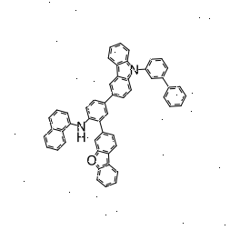 c1ccc(-c2cccc(-n3c4ccccc4c4cc(-c5ccc(Nc6cccc7ccccc67)c(-c6ccc7c(c6)oc6ccccc67)c5)ccc43)c2)cc1